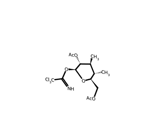 CC(=O)OC[C@H]1O[C@@H](OC(=N)C(Cl)(Cl)Cl)[C@H](OC(C)=O)[C@@H](C)[C@@H]1C